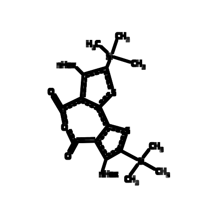 CCCCCCc1c([Si](C)(C)C)sc2c1c(=O)oc(=O)c1c(CCCCCC)c([Si](C)(C)C)sc12